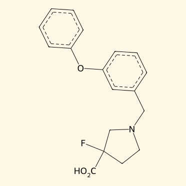 O=C(O)C1(F)CCN(Cc2cccc(Oc3ccccc3)c2)C1